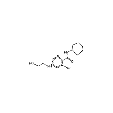 CC(C)c1cc(NCCO)nnc1C(=O)NC1CCCCC1